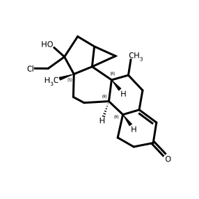 CC1CC2=CC(=O)CC[C@@H]2[C@H]2CC[C@]3(C)C(O)(CCl)CC4CC43[C@H]12